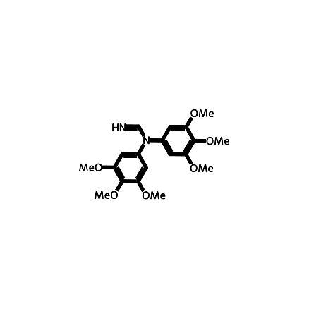 COc1cc(N(C=N)c2cc(OC)c(OC)c(OC)c2)cc(OC)c1OC